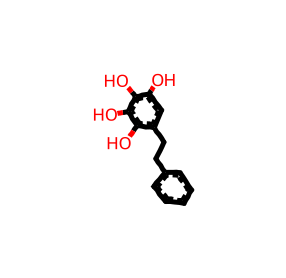 Oc1cc(CCc2ccccc2)c(O)c(O)c1O